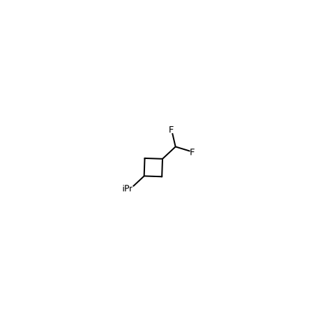 CC(C)C1CC(C(F)F)C1